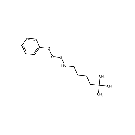 CC(C)(C)CCCCNSOOc1ccccc1